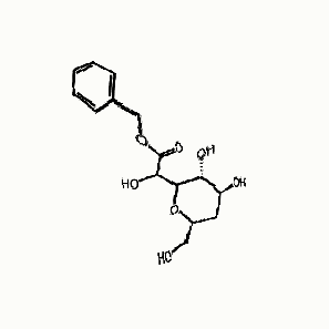 O=C(OCc1ccccc1)C(O)C1O[C@H](CO)C[C@H](O)[C@H]1O